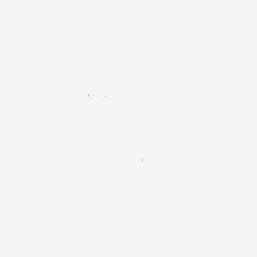 COc1ccc(F)c(Br)c1C(=O)O